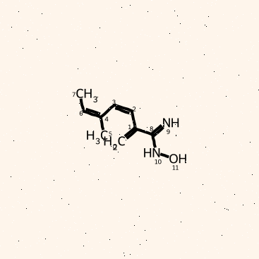 C=C(/C=C\C(C)=C/C)C(=N)NO